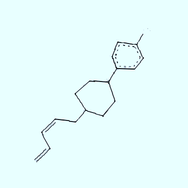 C=C/C=C\CC1CCC(c2ccc(C#N)cc2)CC1